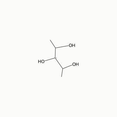 CC(O)[C](O)C(C)O